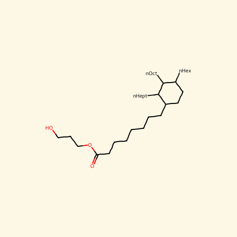 CCCCCCCCC1C(CCCCCC)CCC(CCCCCCCC(=O)OCCCO)C1CCCCCCC